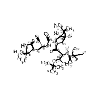 C[C@@H](OC(C)(C)C)[C@H](NC(=O)C(F)(F)F)C(=O)N1C[C@H]2[C@@H]([C@H]1C(=O)N[C@H](C#N)C[C@@H]1CC(C)(C)NC1=O)C2(C)C